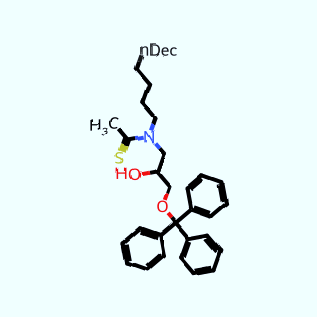 CCCCCCCCCCCCCCN(CC(O)COC(c1ccccc1)(c1ccccc1)c1ccccc1)C(C)=S